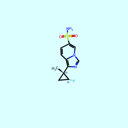 C[C@]1(c2ncn3cc(S(N)(=O)=O)ccc23)C[C@H]1F